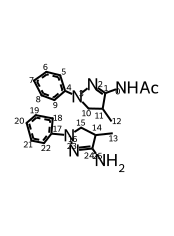 CC(=O)NC1=NN(c2ccccc2)CC1C.CC1CN(c2ccccc2)N=C1N